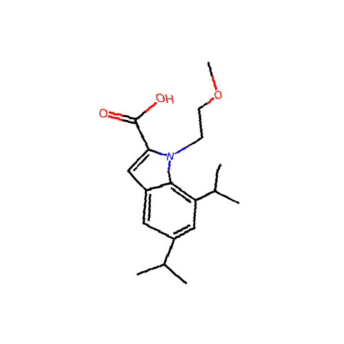 COCCn1c(C(=O)O)cc2cc(C(C)C)cc(C(C)C)c21